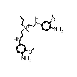 CCC[N+](C)(CCNc1ccc(N)c(OC)c1)CCNc1ccc(N)c(OC)c1